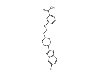 O=C(O)c1cccc(OCCC2CCN(c3nc4cc(Cl)ccc4s3)CC2)c1